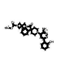 CC(C)(C)OC(=O)N1CC2(C1)CN(C(=O)C1(c3ccccc3)CCN(c3cc(-c4ccccc4O)nnc3N)CC1)C2